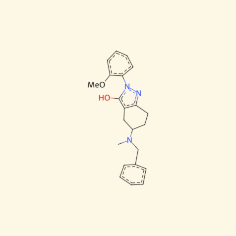 COc1ccccc1-n1nc2c(c1O)CC(N(C)Cc1ccccc1)CC2